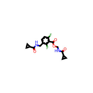 O=C(OCNC(=O)C1CC1)c1c(F)ccc(CNC(=O)C2CC2)c1F